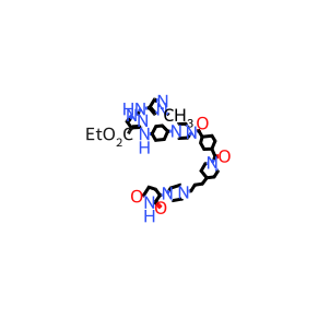 CCOC(=O)c1cnc(Nc2cnn(C)c2)nc1NC1CCC(N2CCN(C(=O)C3CCC(C(=O)N4CCC(CCCN5CCN(C6CCC(=O)NC6=O)CC5)CC4)CC3)CC2)CC1